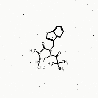 CN(CNC=O)C(=O)[C@@H](Cc1csc2ccccc12)N(C)C(=O)C(C)(C)N